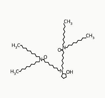 CCCCCCCCCCN(CCCCCCCCCC)C(=O)CCCCCCCN(CCCCCCCC(=O)N(CCCCCCCCCC)CCCCCCCCCC)C1CCCC1O